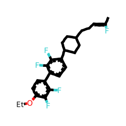 CCOc1ccc(-c2ccc(C3CCC(CCC=C(C)F)CC3)c(F)c2F)c(F)c1F